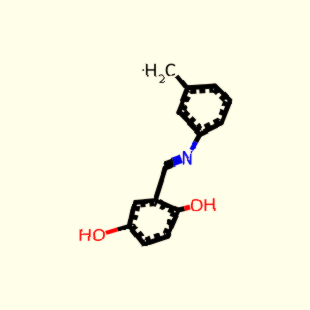 [CH2]c1cccc(N=Cc2cc(O)ccc2O)c1